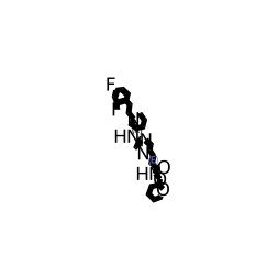 O=C(/C=C/c1cnc(N[C@@H]2CCCN(CCc3ccc(F)cc3F)C2)cn1)NOC1CCCCO1